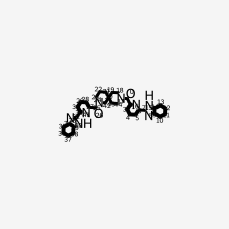 O=C(c1cccc(-c2nc3ccccc3[nH]2)n1)N1CCC2(CCCN(C(=O)c3cccc(-c4nc5ccccc5[nH]4)n3)C2)CC1